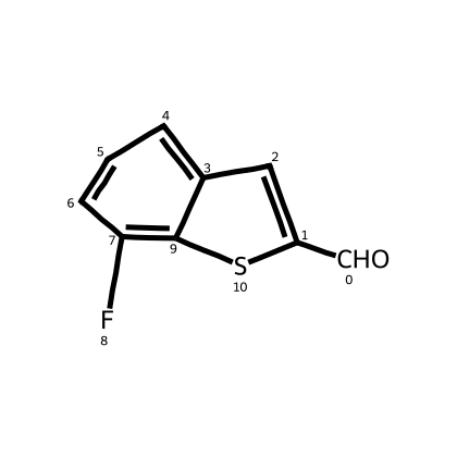 O=Cc1cc2cccc(F)c2s1